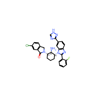 N[C@H]1[C@H](n2c(-c3ccccc3F)nc3ccc(-c4nc[nH]n4)cc32)CCC[C@@H]1N1Cc2ccc(Cl)cc2C1=O